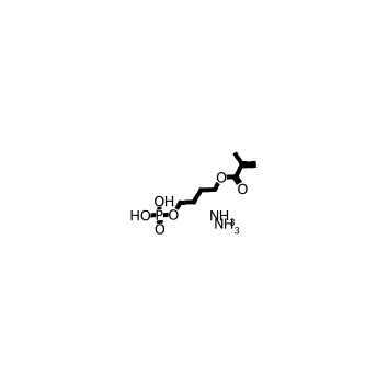 C=C(C)C(=O)OCCCCOP(=O)(O)O.N.N